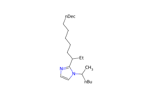 CCCCCCCCCCCCCCCC(CC)c1nccn1C(C)CCCC